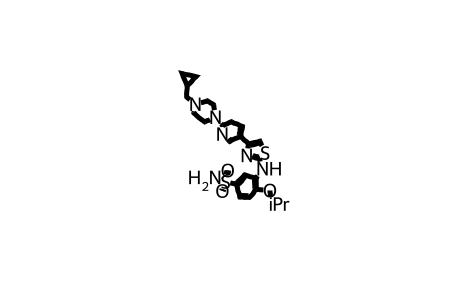 CC(C)Oc1ccc(S(N)(=O)=O)cc1Nc1nc(C2=CCC(N3CCN(CC4CC4)CC3)N=C2)cs1